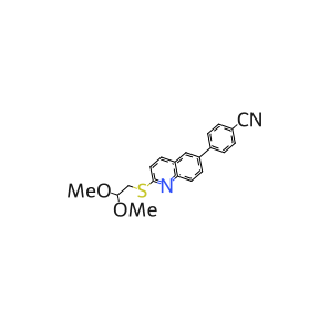 COC(CSc1ccc2cc(-c3ccc(C#N)cc3)ccc2n1)OC